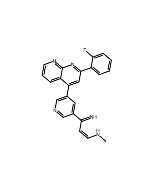 CN/C=C\C(=N)c1cncc(-c2cc(-c3ccccc3F)nc3ncccc23)c1